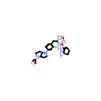 N#C[C@H](Cc1ccc(N2CCC3C2CCN3C2COC2)cc1F)NC(=O)[C@H]1NC2CCC1C2